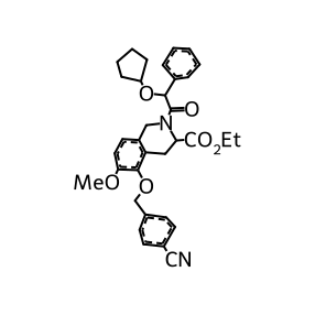 CCOC(=O)C1Cc2c(ccc(OC)c2OCc2ccc(C#N)cc2)CN1C(=O)C(OC1CCCC1)c1ccccc1